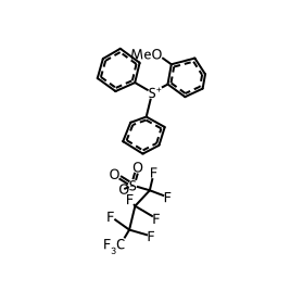 COc1ccccc1[S+](c1ccccc1)c1ccccc1.O=S(=O)([O-])C(F)(F)C(F)(F)C(F)(F)C(F)(F)F